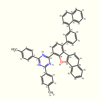 Cc1ccc(-c2nc(-c3ccc(C)cc3)nc(-c3ccc(-c4cccc(-c5cccc6ccccc56)c4)c4c3oc3c5ccccc5ccc34)n2)cc1